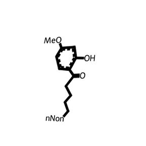 CCCCCCCCCCCCCC(=O)c1ccc(OC)cc1O